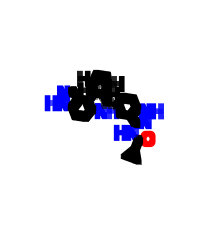 O=C(Nc1n[nH]c2ccc([C@@H]3Nc4ccc5[nH]ncc5c4[C@H]4[C@@H]5CC[C@H](C5)[C@H]43)cc12)C1CC1